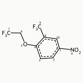 O=[N+]([O-])c1ccc(OCC(F)(F)F)c(C(F)(F)F)c1